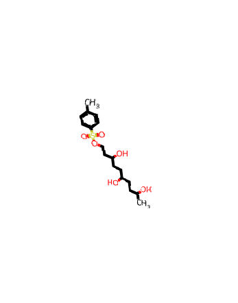 Cc1ccc(S(=O)(=O)OCCC(O)CCC(O)CCC(C)O)cc1